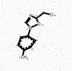 Cc1ccc(N2C=NC(CCl)O2)cc1